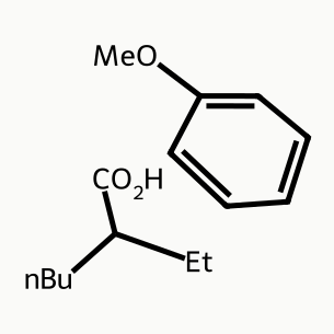 CCCCC(CC)C(=O)O.COc1ccccc1